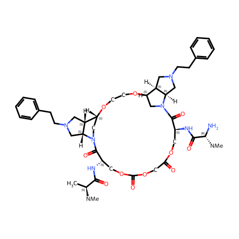 CN[C@@H](C)C(=O)N[C@H]1COC(=O)OCC(=O)OC[C@H](NC(=O)[C@H](N)NC)C(=O)N2C[C@@H](OCCO[C@@H]3CN(C1=O)[C@@H]1CN(CCc4ccccc4)C[C@@H]13)[C@H]1CN(CCc3ccccc3)C[C@H]12